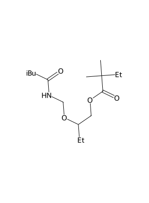 CCC(COC(=O)C(C)(C)CC)OCNC(=O)C(C)CC